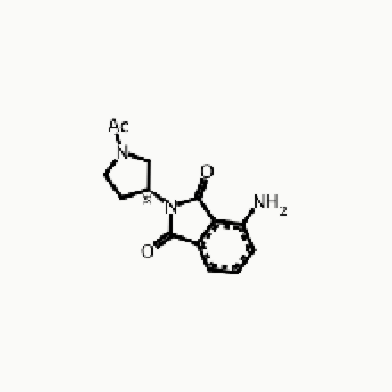 CC(=O)N1CC[C@H](N2C(=O)c3cccc(N)c3C2=O)C1